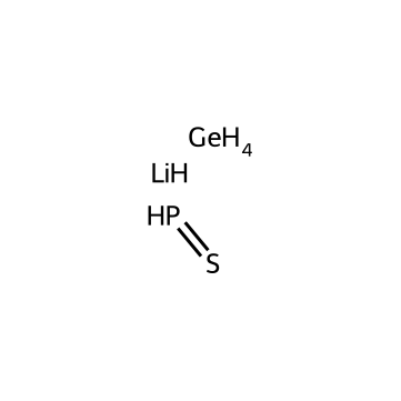 P=S.[GeH4].[LiH]